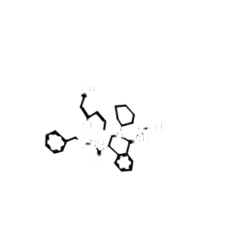 C#C/C=C(Cl)\C=C/C[C@H]1[C@H](C(=O)NOCc2ccccc2)c2ccccc2C(=O)N1[C@H]1CCCC[C@@H]1N(C)C